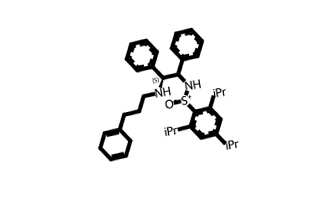 CC(C)c1cc(C(C)C)c([S+]([O-])NC(c2ccccc2)[C@@H](NCCCC2=CCC=CC2)c2ccccc2)c(C(C)C)c1